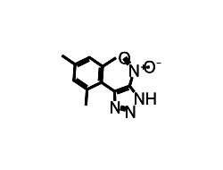 Cc1cc(C)c(-c2nn[nH]c2[N+](=O)[O-])c(C)c1